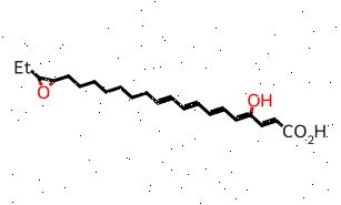 CCC1OC1CCCCCCC/C=C/C=C/C=C/C=C(O)/C=C/C(=O)O